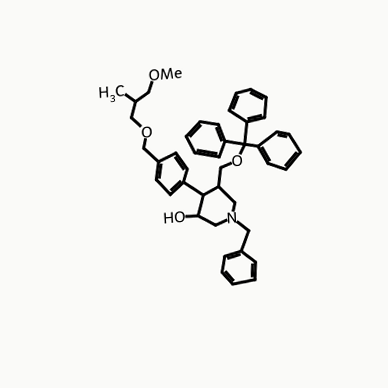 COCC(C)COCc1ccc(C2C(O)CN(Cc3ccccc3)CC2COC(c2ccccc2)(c2ccccc2)c2ccccc2)cc1